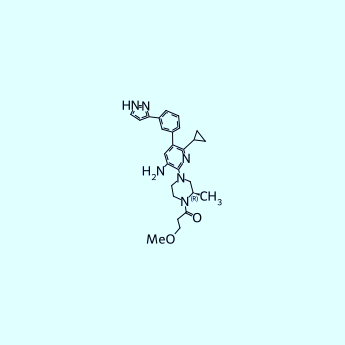 COCCC(=O)N1CCN(c2nc(C3CC3)c(-c3cccc(-c4cc[nH]n4)c3)cc2N)C[C@H]1C